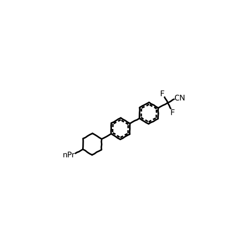 CCCC1CCC(c2ccc(-c3ccc(C(F)(F)C#N)cc3)cc2)CC1